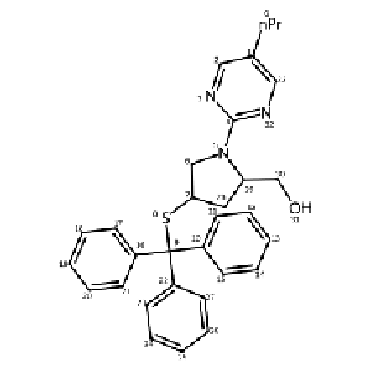 CCCc1cnc(N2CC(SC(c3ccccc3)(c3ccccc3)c3ccccc3)CC2CO)nc1